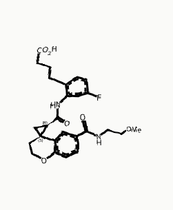 COCCNC(=O)c1ccc2c(c1)[C@]1(CCO2)C[C@H]1C(=O)Nc1cc(F)ccc1CCCC(=O)O